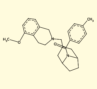 COc1cccc2c1CCN(CC1CC3CCC(C1)N3C(=O)c1ccc(C)cc1)C2